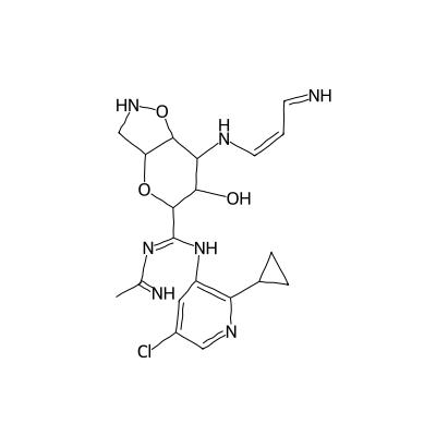 CC(=N)/N=C(\Nc1cc(Cl)cnc1C1CC1)C1OC2CNOC2C(N/C=C\C=N)C1O